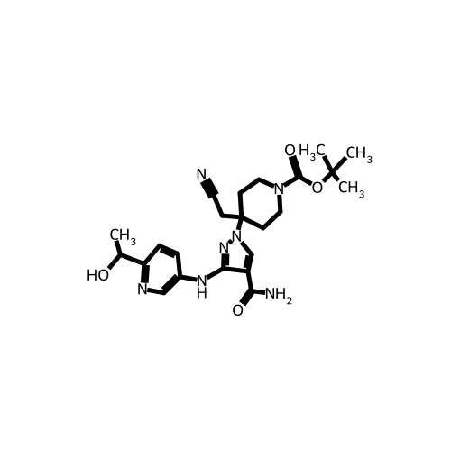 CC(O)c1ccc(Nc2nn(C3(CC#N)CCN(C(=O)OC(C)(C)C)CC3)cc2C(N)=O)cn1